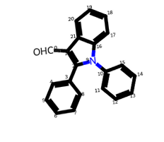 O=Cc1c(-c2ccccc2)n(-c2ccccc2)c2ccccc12